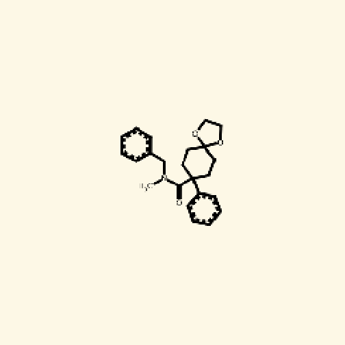 CN(Cc1ccccc1)C(=O)C1(c2ccccc2)CCC2(CC1)OCCO2